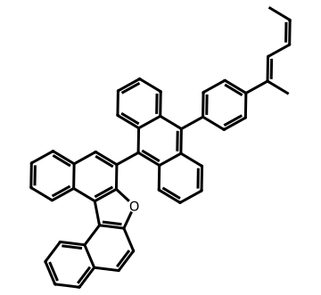 C/C=C\C=C(/C)c1ccc(-c2c3ccccc3c(-c3cc4ccccc4c4c3oc3ccc5ccccc5c34)c3ccccc23)cc1